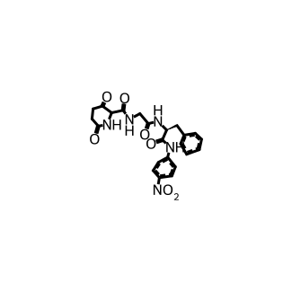 O=C1CCC(=O)C(C(=O)NCC(=O)N[C@@H](Cc2ccccc2)C(=O)Nc2ccc([N+](=O)[O-])cc2)N1